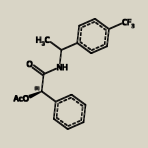 CC(=O)O[C@@H](C(=O)NC(C)c1ccc(C(F)(F)F)cc1)c1ccccc1